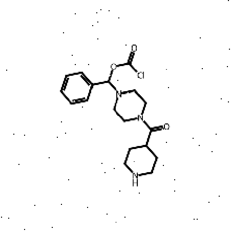 O=C(Cl)OC(c1ccccc1)N1CCN(C(=O)C2CCNCC2)CC1